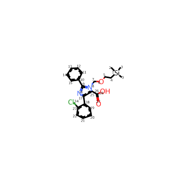 C[Si](C)(C)CCOCn1c(-c2ccccc2)nc(-c2ccccc2Cl)c1C(=O)O